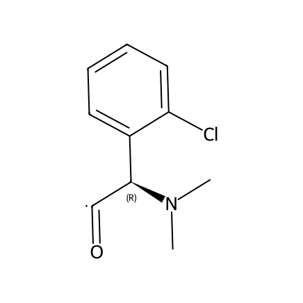 CN(C)[C@@H]([C]=O)c1ccccc1Cl